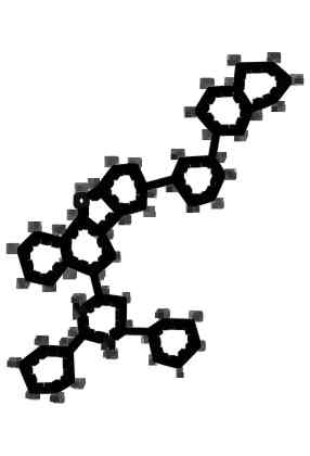 c1ccc(-c2cc(-c3cc4c5cc(-c6cccc(-c7ccc8ccccc8c7)c6)ccc5oc4c4ccccc34)nc(-c3ccccc3)n2)cc1